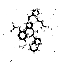 CSc1ccc(OC(F)F)c(-c2nn(Cc3nnnn3CCN(C)C)cc2NC(O)c2cnn3cccnc23)c1